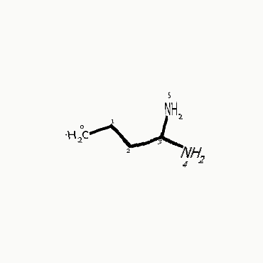 [CH2]CCC(N)N